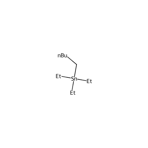 CCCC[CH2][Sn]([CH2]C)([CH2]C)[CH2]C